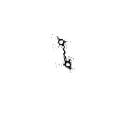 BrC1=CC(Br)=C(OC/C=C/COc2c(Br)cc(Br)cc2Br)C(Br)C1